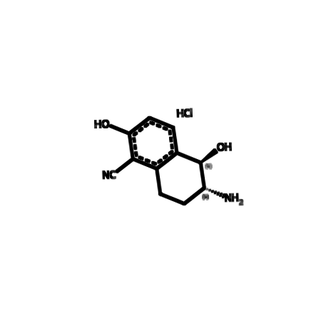 Cl.N#Cc1c(O)ccc2c1CC[C@@H](N)[C@@H]2O